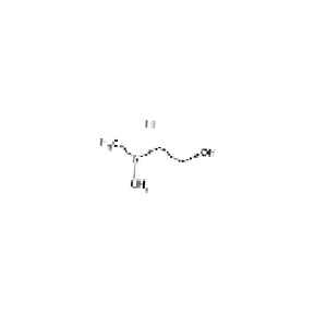 CN(C)CCO.I